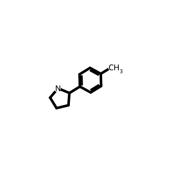 Cc1ccc(C2CCC[N]2)cc1